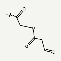 CC(=O)COC(=O)CC=O